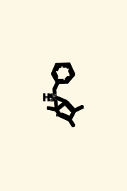 CC1=[C]C2(C)C(=C1C)[SiH]2Cc1ccccc1